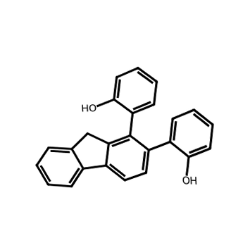 Oc1ccccc1-c1ccc2c(c1-c1ccccc1O)Cc1ccccc1-2